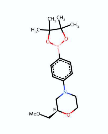 COC[C@H]1CN(c2ccc(B3OC(C)(C)C(C)(C)O3)cc2)CCO1